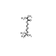 C=C(C)C(=O)OCCOCC[N+](C)(C)C